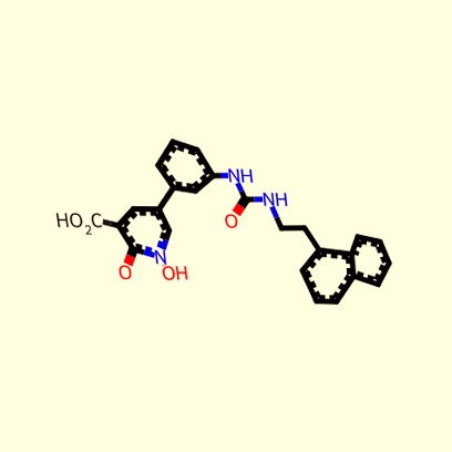 O=C(NCCc1cccc2ccccc12)Nc1cccc(-c2cc(C(=O)O)c(=O)n(O)c2)c1